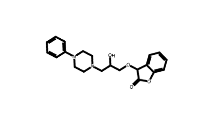 O=C1Oc2ccccc2C1OCC(O)CN1CCN(c2ccccc2)CC1